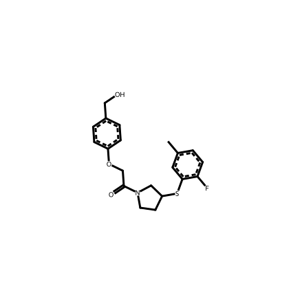 Cc1ccc(F)c(SC2CCN(C(=O)COc3ccc(CO)cc3)C2)c1